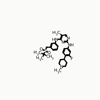 Cc1cnc(Nc2ccc(C3CCN(C)CC3)c(F)c2)nc1Nc1cccc(CS(=O)(=O)C(C)(C)C)c1